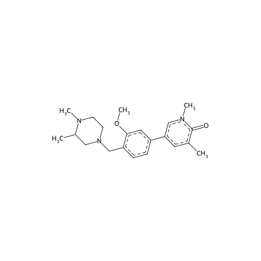 COc1cc(-c2cc(C)c(=O)n(C)c2)ccc1CN1CCN(C)C(C)C1